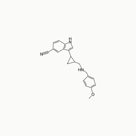 COc1ccc(CNCC2CC2c2c[nH]c3ccc(C#N)cc23)cc1